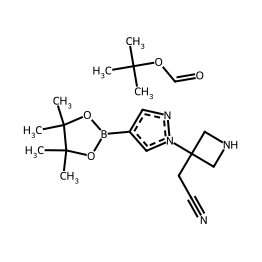 CC(C)(C)OC=O.CC1(C)OB(c2cnn(C3(CC#N)CNC3)c2)OC1(C)C